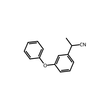 CC(C#N)c1cccc(Oc2ccccc2)c1